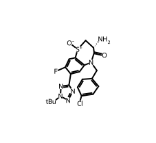 CC(C)(C)n1nnc(-c2cc3c(cc2F)[S+]([O-])C[C@H](N)C(=O)N3Cc2ccc(Cl)cc2)n1